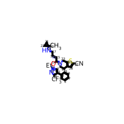 CCn1cc(-c2ccccc2[C@@H]2CN(C(=O)/C=C/CNC3(C)CC3)Cc3sc(C#N)cc32)c(C(F)(F)F)n1